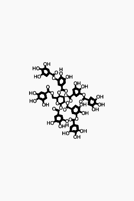 O=C(OCC1OC(OC(=O)c2cc(O)c(O)c(O)c2)[C@@H](OC(=O)c2cc(O)c(O)c(OC(=O)c3cc(O)c(O)c(O)c3)c2)C(OC(=O)c2cc(O)c(O)c(OC(=O)c3cc(O)c(O)c(O)c3)c2)[C@@H]1OC(=O)c1cc(O)c(O)c(OC(=O)c2cc(O)c(O)c(O)c2)c1)c1cc(O)c(O)c(O)c1